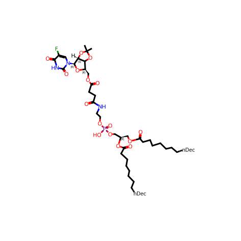 CCCCCCCCCCCCCCCCCC(=O)OC[C@H](COP(=O)(O)OCCNC(=O)CCC(=O)OC[C@H]1O[C@@H](n2cc(F)c(=O)[nH]c2=O)[C@H]2OC(C)(C)OC12)OC(=O)CCCCCCCCCCCCCCCCC